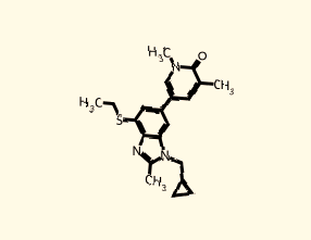 CCSc1cc(-c2cc(C)c(=O)n(C)c2)cc2c1nc(C)n2CC1CC1